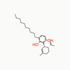 C=C(C)[C@@H]1CCC(C)=C[C@H]1c1c(O)ccc(CCCCCCCCCC)c1O